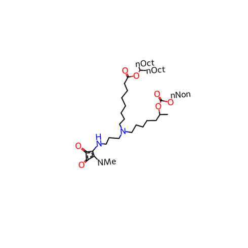 CCCCCCCCCOC(=O)OC(C)CCCCCN(CCCCCCCC(=O)OC(CCCCCCCC)CCCCCCCC)CCCNc1c(NC)c(=O)c1=O